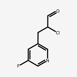 O=CC(Cl)Cc1cncc(F)c1